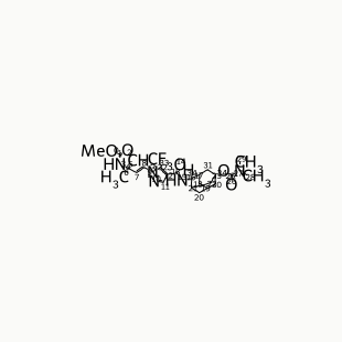 COC(=O)NC(C)(C)/C=C/n1ncc(C(=O)N[C@H]2C3CC4CC2C[C@](OC(=O)N(C)C)(C4)C3)c1C(F)(F)F